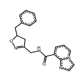 O=C(NCC1=NOC(Cc2ccccc2)C1)c1cccn2ccnc12